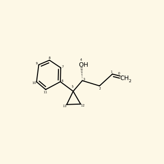 C=CC[C@@H](O)C1(c2ccccc2)CC1